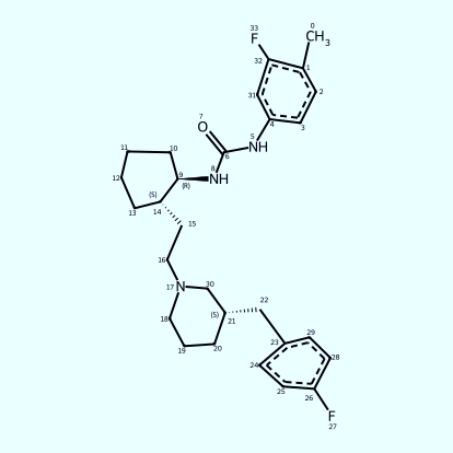 Cc1ccc(NC(=O)N[C@@H]2CCCC[C@H]2CCN2CCC[C@@H](Cc3ccc(F)cc3)C2)cc1F